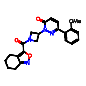 COc1ccccc1-c1ccc(=O)n(C2CN(C(=O)c3onc4c3CCCC4)C2)n1